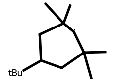 CC1(C)[C]C(C)(C)CC(C(C)(C)C)C1